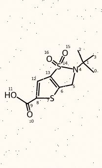 CC(C)(C)N1Cc2sc(C(=O)O)cc2S1(=O)=O